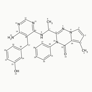 Cc1ccn2nc(C(C)Nc3ncnc(N)c3Cc3cccc(O)c3)n(-c3ccccc3)c(=O)c12